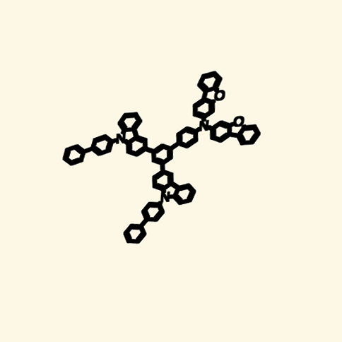 c1ccc(-c2ccc(-n3c4ccccc4c4cc(-c5cc(-c6ccc(N(c7ccc8c(c7)oc7ccccc78)c7ccc8c(c7)oc7ccccc78)cc6)cc(-c6ccc7c(c6)c6ccccc6n7-c6ccc(-c7ccccc7)cc6)c5)ccc43)cc2)cc1